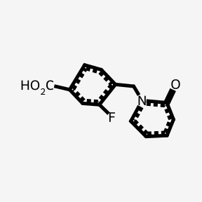 O=C(O)c1ccc(Cn2ccccc2=O)c(F)c1